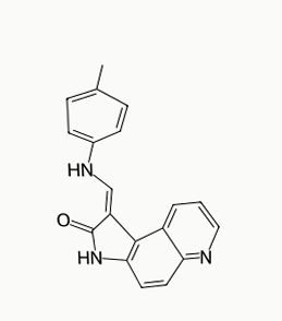 Cc1ccc(NC=C2C(=O)Nc3ccc4ncccc4c32)cc1